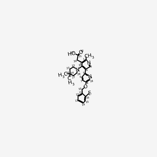 Cc1ncc(-c2ccc(OCc3ccccc3F)cn2)c(N2CCC(C)(C)CC2)c1CC(=O)O